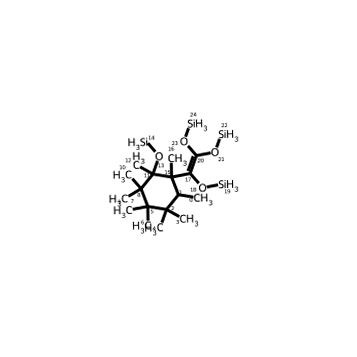 CC1C(C)(C)C(C)(C)C(C)(C)C(C)(O[SiH3])C1(C)C(O[SiH3])=C(O[SiH3])O[SiH3]